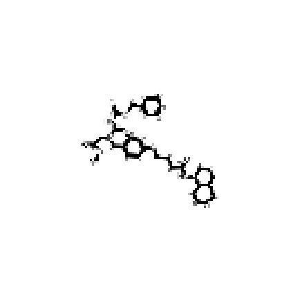 CC(C)OC(=O)CN1Cc2ccc(OCCCC(=O)NN3CCCC4CCCCC43)cc2N=C1NC(=O)OCc1ccccc1